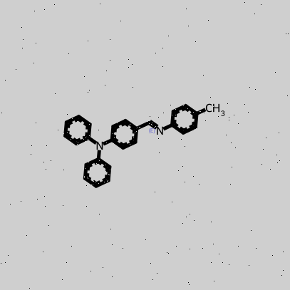 Cc1ccc(/N=C/c2ccc(N(c3ccccc3)c3ccccc3)cc2)cc1